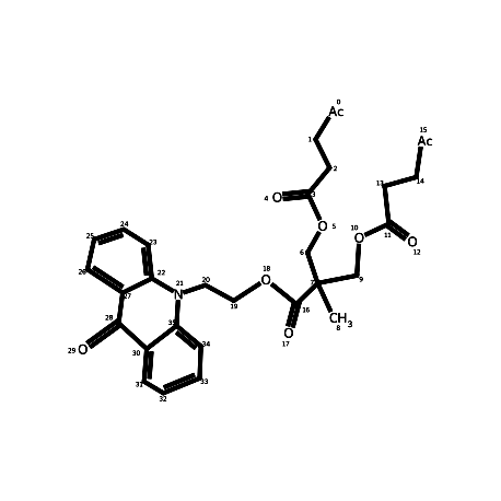 CC(=O)CCC(=O)OCC(C)(COC(=O)CCC(C)=O)C(=O)OCCn1c2ccccc2c(=O)c2ccccc21